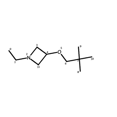 CCN1CC(OCC(C)(C)C)C1